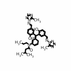 CCCN(C(=O)CC(C)C)C1=CC(=C(c2cc(C=Nn3nnnc3C)ccc2O)c2cc(C=Nn3nnnc3C)ccc2O)CC=C1